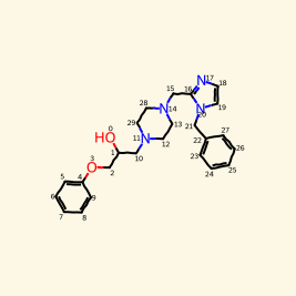 OC(COc1ccccc1)CN1CCN(Cc2nccn2Cc2ccccc2)CC1